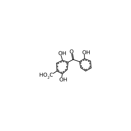 O=C(O)c1cc(O)c(C(=O)c2ccccc2O)cc1O